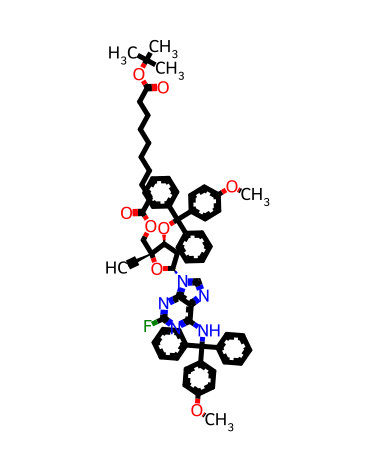 C#C[C@]1(COC(=O)CCCCCCCCC(=O)OC(C)(C)C)O[C@@H](n2cnc3c(NC(c4ccccc4)(c4ccccc4)c4ccc(OC)cc4)nc(F)nc32)C[C@@H]1OC(c1ccccc1)(c1ccccc1)c1ccc(OC)cc1